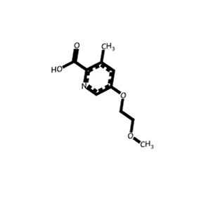 COCCOc1cnc(C(=O)O)c(C)c1